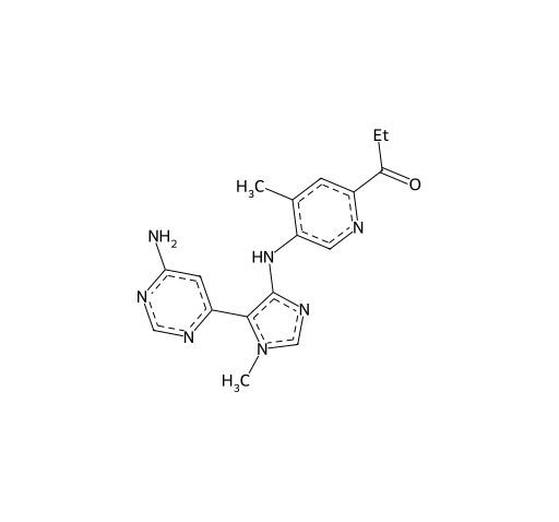 CCC(=O)c1cc(C)c(Nc2ncn(C)c2-c2cc(N)ncn2)cn1